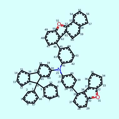 c1ccc(C2(c3ccccc3)c3ccccc3-c3ccc(N(c4ccc(-c5cccc6oc7ccccc7c56)cc4)c4cccc(-c5cccc6oc7c8ccccc8ccc7c56)c4)cc32)cc1